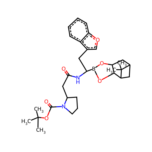 CC(C)(C)OC(=O)N1CCCC1CC(=O)NC(Cc1coc2ccccc12)B1OC2CC3CC(C2O1)C3(C)C